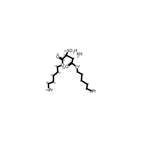 CC(C)CCCCCOC(=O)CC(C(=O)OCCCCCC(C)C)S(=O)(=O)O.[KH]